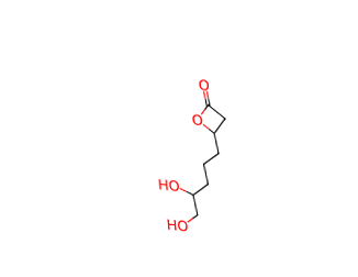 O=C1CC(CCCC(O)CO)O1